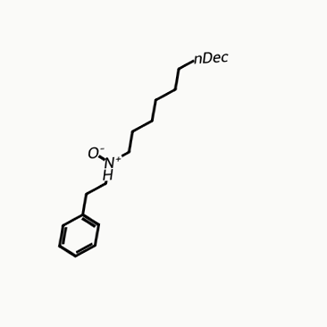 CCCCCCCCCCCCCCCC[NH+]([O-])CCc1ccccc1